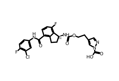 O=C(N[C@H]1CCc2c(C(=O)Nc3ccc(F)c(Cl)c3)ccc(F)c21)OCCc1cnn(C(=O)O)c1